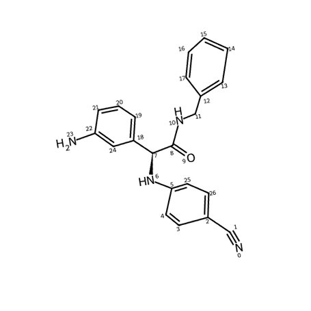 N#Cc1ccc(N[C@H](C(=O)NCc2ccccc2)c2cccc(N)c2)cc1